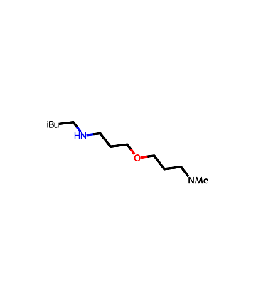 CCC(C)CNCCCOCCCNC